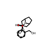 CC(C)(C)OC(=O)N1C2CCC1CC(O)(c1ccccc1CO)C2